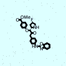 COC(=O)c1ccc(OC(C(=O)Cc2ccc(Nc3nc4ccccc4o3)cc2)[C@@H]2C[C@H](F)CN2)cc1